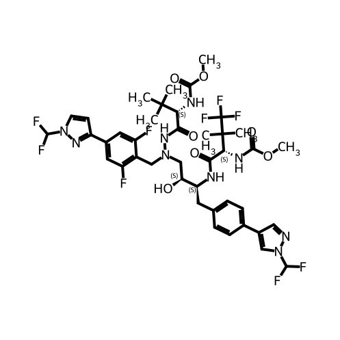 COC(=O)N[C@H](C(=O)NN(Cc1c(F)cc(-c2ccn(C(F)F)n2)cc1F)C[C@H](O)[C@H](Cc1ccc(-c2cnn(C(F)F)c2)cc1)NC(=O)[C@@H](NC(=O)OC)C(C)(C)C(F)(F)F)C(C)(C)C